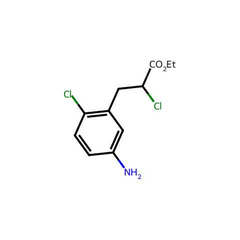 CCOC(=O)C(Cl)Cc1cc(N)ccc1Cl